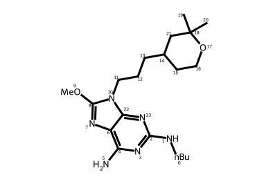 CCCCNc1nc(N)c2nc(OC)n(CCCC3CCOC(C)(C)C3)c2n1